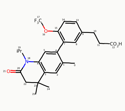 Cc1cc2c(cc1-c1cc(CCC(=O)O)ccc1OC(F)(F)F)N(C(C)C)C(=O)CC2(C)C